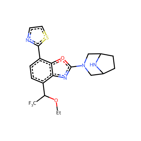 CCOC(c1ccc(-c2nccs2)c2oc(N3CC4CCC(C3)N4)nc12)C(F)(F)F